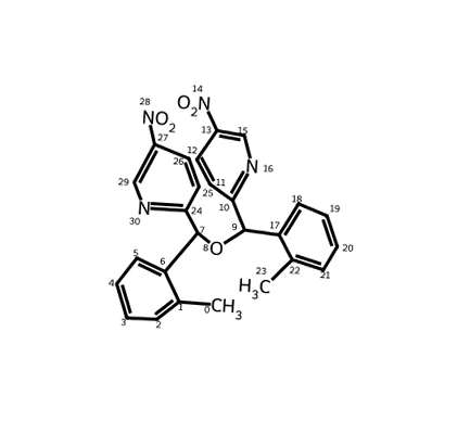 Cc1ccccc1C(OC(c1ccc([N+](=O)[O-])cn1)c1ccccc1C)c1ccc([N+](=O)[O-])cn1